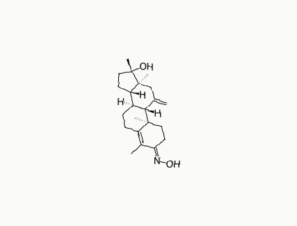 C=C1C[C@@]2(C)[C@@H](CC[C@]2(C)O)[C@@H]2CCC3=C(C)/C(=N/O)CC[C@]3(C)[C@@H]12